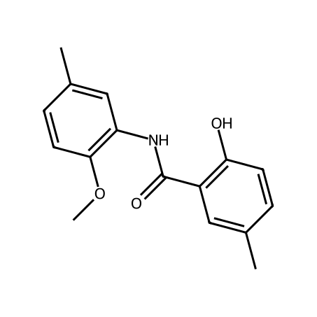 COc1ccc(C)cc1NC(=O)c1cc(C)ccc1O